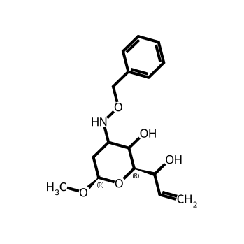 C=CC(O)[C@H]1O[C@@H](OC)CC(NOCc2ccccc2)C1O